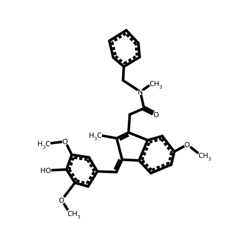 COc1ccc2c(c1)C(CC(=O)N(C)Cc1ccccc1)=C(C)/C2=C\c1cc(OC)c(O)c(OC)c1